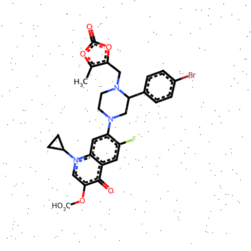 Cc1oc(=O)oc1CN1CCN(c2cc3c(cc2F)c(=O)c(OC(=O)O)cn3C2CC2)CC1c1ccc(Br)cc1